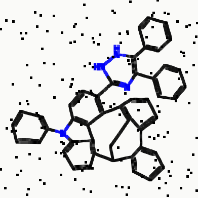 c1ccc(C2=C(c3ccccc3)NNC(c3ccc4c5c3-c3cccc6c3CC(c3ccccc3-6)c3cccc(c35)n4-c3ccccc3)=N2)cc1